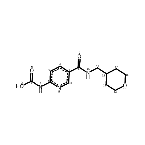 O=C(O)Nc1ccc(C(=O)NCC2CCOCC2)cn1